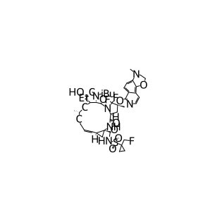 CCC(C)N(C(=O)O)[C@@H]1C(=O)N2[C@@H](C[C@@](C)(Oc3nccc4c5c(ccc34)N(C)CCO5)C2(F)F)C(=O)N[C@]2(C(=O)NS(=O)(=O)C3(CF)CC3)C[C@H]2/C=C\CC[C@H](C)C[C@H]1CC